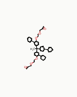 CC(c1ccc(-c2ccccc2)cc1)(c1ccc(OCCOCC2CO2)c(-c2ccccc2)c1)c1ccc(OCCOCC2CO2)c(-c2ccccc2)c1